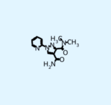 CN(C)C(=O)c1nn(-c2ccccn2)cc1C(N)=O